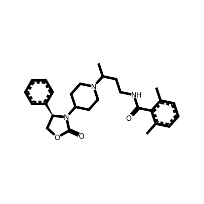 Cc1cccc(C)c1C(=O)NCCC(C)N1CCC(N2C(=O)OC[C@H]2c2ccccc2)CC1